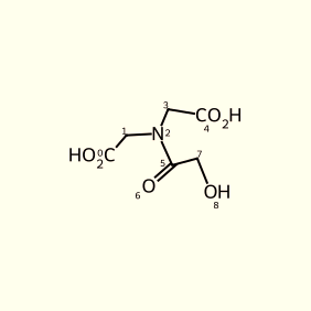 O=C(O)CN(CC(=O)O)C(=O)CO